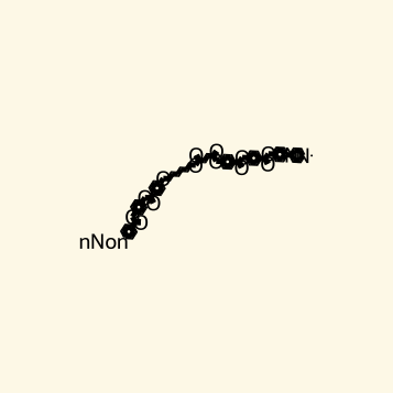 CCCCCCCCCc1ccc(C(=O)Oc2ccc(OC(=O)c3ccc(OCCCCCCOC(=O)CCC(=O)Oc4ccc(C(=O)Oc5ccc(C(=O)Oc6ccc(N7CC[N]CC7)cc6)cc5)cc4)cc3)cc2)cc1